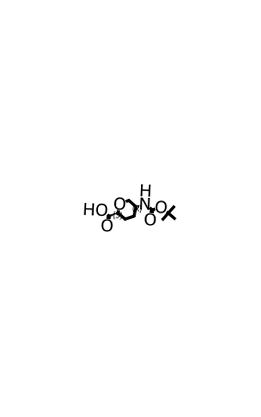 CC(C)(C)OC(=O)N[C@@H]1CC[C@@H](C(=O)O)OC1